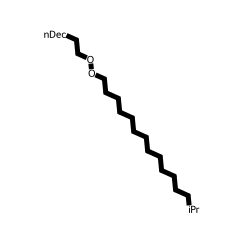 CCCCCCCCCCCCOOCCCCCCCCCCCCCC(C)C